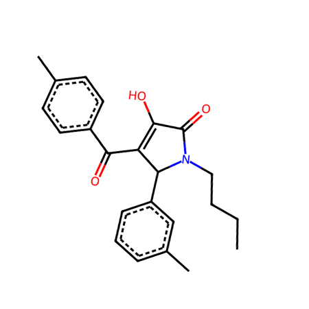 CCCCN1C(=O)C(O)=C(C(=O)c2ccc(C)cc2)C1c1cccc(C)c1